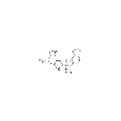 CCC1COCC(CC(C)(C)C2CCC(CC(C)C3CCOC3)CO2)C1